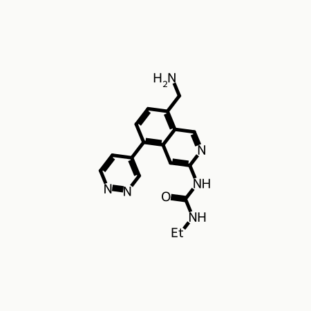 CCNC(=O)Nc1cc2c(-c3ccnnc3)ccc(CN)c2cn1